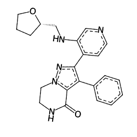 O=C1NCCn2nc(-c3ccncc3NC[C@@H]3CCCO3)c(-c3ccccc3)c21